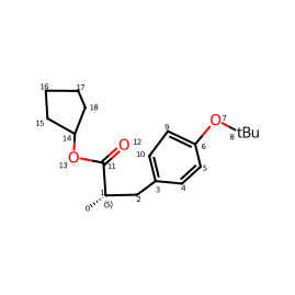 C[C@@H](Cc1ccc(OC(C)(C)C)cc1)C(=O)OC1CCCC1